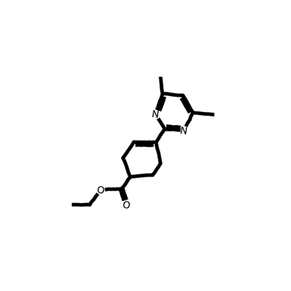 CCOC(=O)C1CC=C(c2nc(C)cc(C)n2)CC1